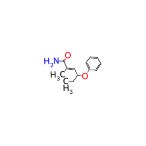 CCC(C=C(C)C(N)=O)Oc1ccccc1